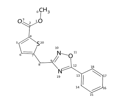 COC(=O)c1ccc(Cc2noc(-c3ccccc3)n2)s1